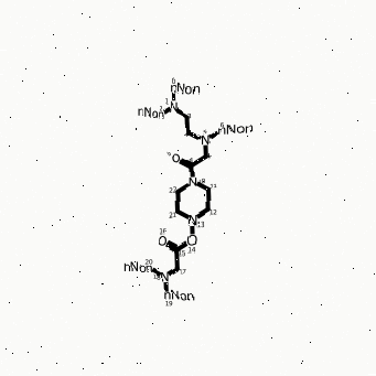 CCCCCCCCCN(CCCCCCCCC)CCN(CCCCCCCCC)CC(=O)N1CCN(OC(=O)CN(CCCCCCCCC)CCCCCCCCC)CC1